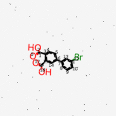 O=C(O)c1ccc(-c2cccc(Br)c2)cc1C(=O)O